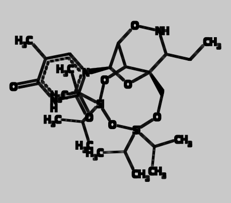 CCC1NOC2C3O[Si](C(C)C)(C(C)C)O[Si](C(C)C)(C(C)C)OC[C@]13O[C@H]2n1cc(C)c(=O)[nH]c1=O